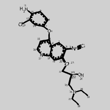 [C-]#[N+]c1cc2c(Oc3ccc(N)c(Cl)c3)ccnc2cc1OC[C@@H](O)CN(CC)CC